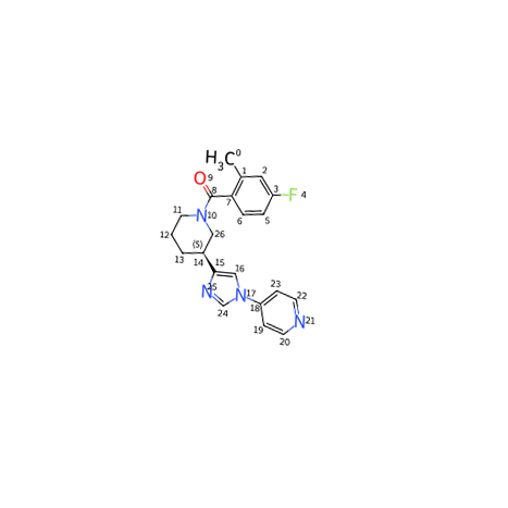 Cc1cc(F)ccc1C(=O)N1CCC[C@H](c2cn(-c3ccncc3)cn2)C1